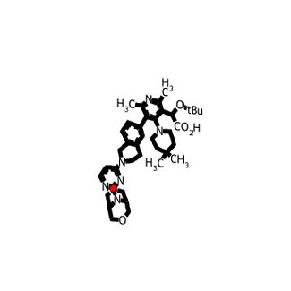 Cc1nc(C)c(C(OC(C)(C)C)C(=O)O)c(N2CCC(C)(C)CC2)c1-c1ccc2c(c1)CCN(c1ccnc(N3C4COCC3COC4)n1)C2